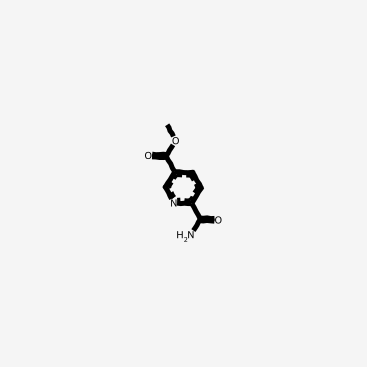 COC(=O)c1ccc(C(N)=O)nc1